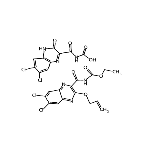 C=CCOc1nc2cc(Cl)c(Cl)cc2nc1C(=O)NC(=O)OCC.O=C(O)NC(=O)c1nc2cc(Cl)c(Cl)cc2[nH]c1=O